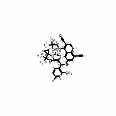 Cc1nc(F)ccc1[C@H](Nc1cc(C#N)c2ncc(C#N)c(NCC(C)(C)C)c2c1)c1cn(C2(C(C)(C)C)CC2)nn1